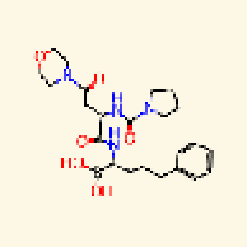 O=C(N[C@@H](CCCc1ccccc1)B(O)O)[C@@H](CC(=O)N1CCOCC1)NC(=O)N1CCCC1